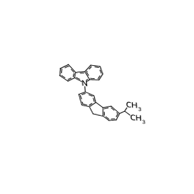 CC(C)c1ccc2c(c1)-c1cc(-n3c4ccccc4c4ccccc43)ccc1C2